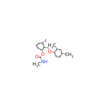 CNC(=O)Oc1cccc(I)c1COc1ccc(C)cc1C